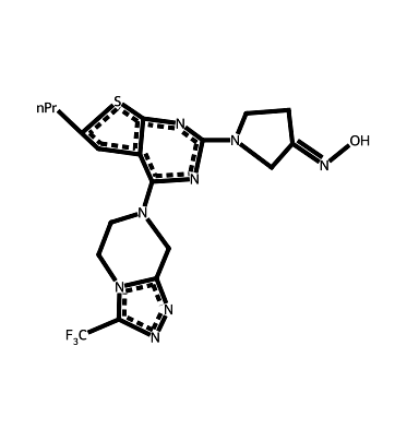 CCCc1cc2c(N3CCn4c(nnc4C(F)(F)F)C3)nc(N3CC/C(=N\O)C3)nc2s1